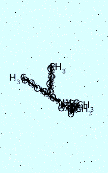 COCCOCCOCCOCC(COCCCNC(=O)CCN1C(=O)CC(C(C)(C)C)C1=O)OCCOCCOCCOC